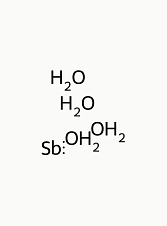 O.O.O.O.[Sb]